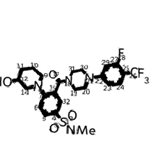 CNS(=O)(=O)c1ccc(N2CCCC(O)C2)c(C(=O)N2CCN(c3ccc(C(F)(F)F)c(F)c3)CC2)c1